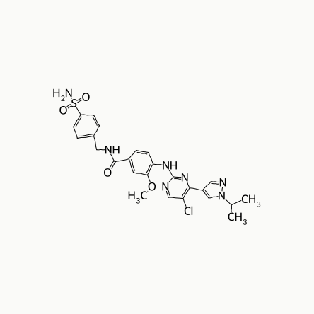 COc1cc(C(=O)NCc2ccc(S(N)(=O)=O)cc2)ccc1Nc1ncc(Cl)c(-c2cnn(C(C)C)c2)n1